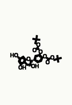 CC(C)(C)COC(=O)Oc1ccc([C@H]2Oc3cc(O)cc(O)c3C[C@H]2O)cc1OC(=O)OCC(C)(C)C